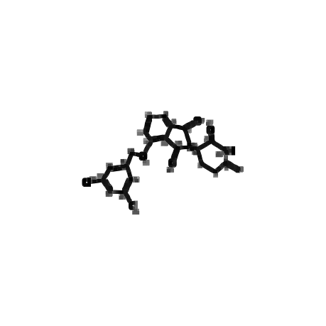 C=C1CCC(N2C(=O)c3cccc(OCc4cc(Cl)cc(Cl)c4)c3C2=O)C(=O)N1